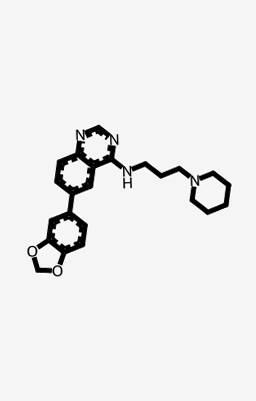 c1nc(NCCCN2CCCCC2)c2cc(-c3ccc4c(c3)OCO4)ccc2n1